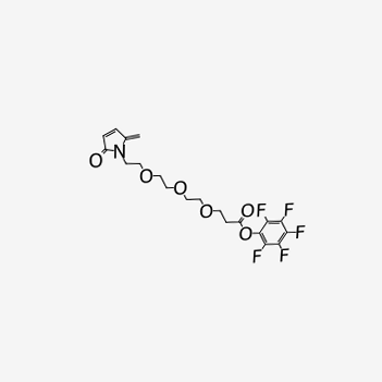 C=C1C=CC(=O)N1CCOCCOCCOCCC(=O)Oc1c(F)c(F)c(F)c(F)c1F